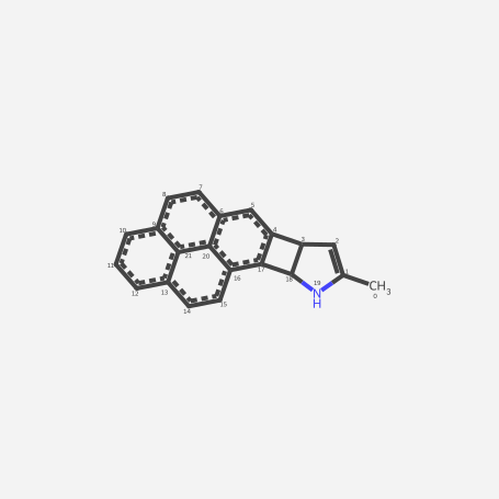 CC1=CC2c3cc4ccc5cccc6ccc(c3C2N1)c4c56